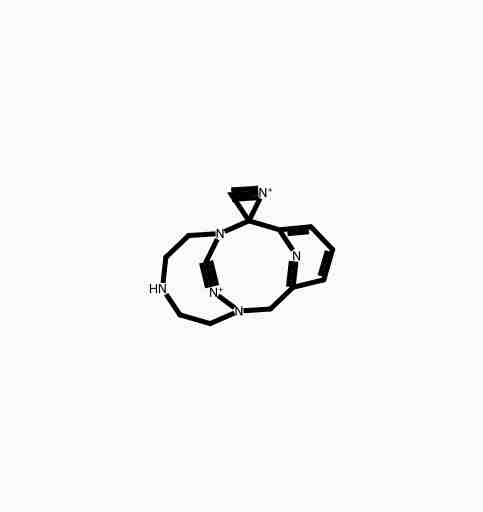 C1#[N+]N2CCNCCN1C1(C#[N+]1)c1cccc(n1)C2